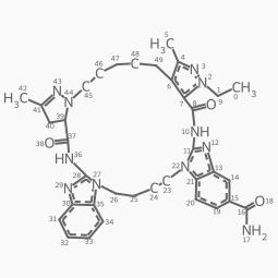 CCn1nc(C)c2c1C(=O)Nc1nc3cc(C(N)=O)ccc3n1CCCCn1c(nc3ccccc31)NC(=O)C1CC(C)=NN1CCCCC2